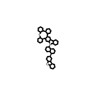 c1ccc2c(c1)oc1ccc(-c3cccc4c(-n5c6ccccc6c6cc7c(cc65)c5ccccc5sc5ccccc5c5ccccc57)cccc34)cc12